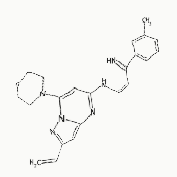 C=Cc1cc2nc(N/C=C\C(=N)c3cccc(C)c3)cc(N3CCOCC3)n2n1